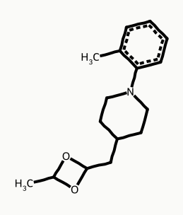 Cc1ccccc1N1CCC(CC2OC(C)O2)CC1